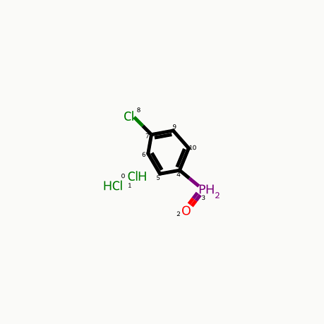 Cl.Cl.O=[PH2]c1ccc(Cl)cc1